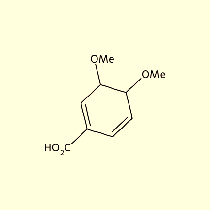 COC1C=CC(C(=O)O)=CC1OC